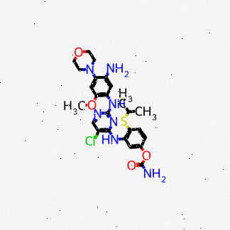 COc1cc(N2CCOCC2)c(N)cc1Nc1ncc(Cl)c(Nc2cc(OC(N)=O)ccc2SC(C)C)n1